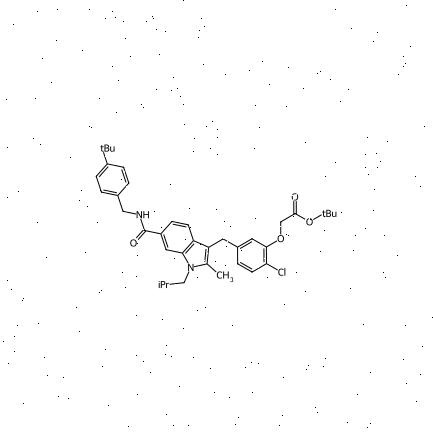 Cc1c(Cc2ccc(Cl)c(OCC(=O)OC(C)(C)C)c2)c2ccc(C(=O)NCc3ccc(C(C)(C)C)cc3)cc2n1CC(C)C